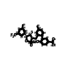 CCC(=O)c1ccc(OC)c(-c2ccc(C)cc2CN2C(=O)O[C@H](c3cc(C)cc(C(F)(F)F)c3)[C@@H]2C)c1